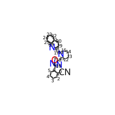 N#Cc1ccccc1-c1noc(C2CCCCN2Cc2ccc3ccccc3n2)n1